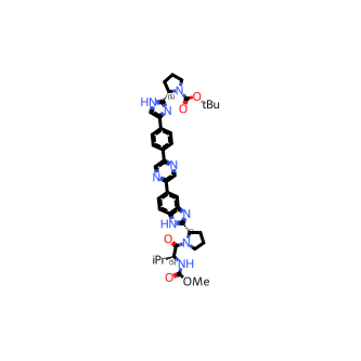 COC(=O)N[C@H](C(=O)N1CCC[C@H]1c1nc2cc(-c3cnc(-c4ccc(-c5c[nH]c([C@@H]6CCCN6C(=O)OC(C)(C)C)n5)cc4)cn3)ccc2[nH]1)C(C)C